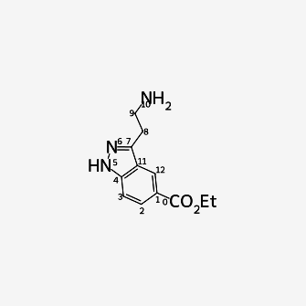 CCOC(=O)c1ccc2[nH]nc(CCN)c2c1